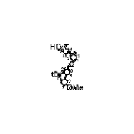 COc1ccc(F)c(-c2ccc(COc3cccc([C@H](CC(=O)O)CC4CC4)c3)cc2C(C)(C)C)c1